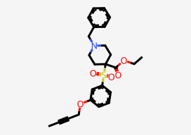 CC#CCOc1cccc(S(=O)(=O)C2(C(=O)OCC)CCN(Cc3ccccc3)CC2)c1